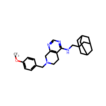 FC(F)(F)Oc1ccc(CN2CCc3c(ncnc3NCC34CC5CC(CC(C5)C3)C4)C2)cc1